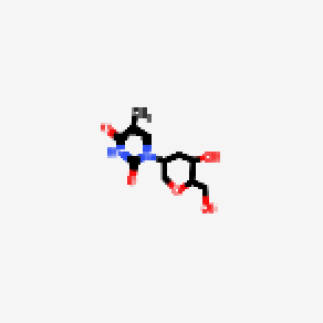 Cc1cn(C2COC(CO)C(O)C2)c(=O)[nH]c1=O